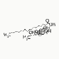 CC(O)CO.CCCCCCCCCCCCCCCCCC(=O)O.O=P(=O)O[Si](O)(O)O